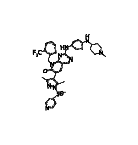 Cc1nn([S+]([O-])c2ccncc2)c(C)c1-c1cc2cnc(Nc3ccc(NC4CCN(C)CC4)cc3)nc2n(Cc2ccccc2C(F)(F)F)c1=O